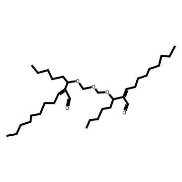 CCCCCCCCC=C(C=O)C(CCCCC)OCOCOC(CCCCC)C(C=O)=CCCCCCCCC